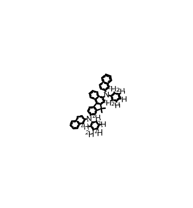 [2H]c1c([2H])c([2H])c(N(c2ccc3c(c2)C(C)(C)c2cc(N(c4ccc5ccccc5c4)c4c([2H])c([2H])c([2H])c([2H])c4[2H])c4ccccc4c2-3)c2ccc3ccccc3c2)c([2H])c1[2H]